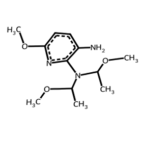 COc1ccc(N)c(N(C(C)OC)C(C)OC)n1